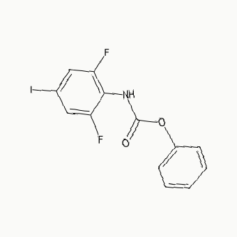 O=C(Nc1c(F)cc(I)cc1F)Oc1ccccc1